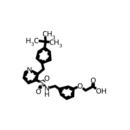 CC(C)(C)c1ccc(Cc2ncccc2S(=O)(=O)NCc2cccc(OCC(=O)O)c2)cc1